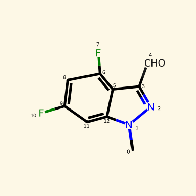 Cn1nc(C=O)c2c(F)cc(F)cc21